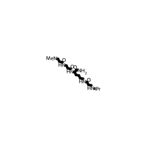 CNCCC(=O)NCCC(=O)NC(CCCCNC(=O)CCNC(C)C)C(N)=O